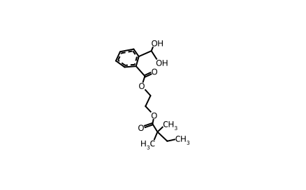 CCC(C)(C)C(=O)OCCOC(=O)c1ccccc1C(O)O